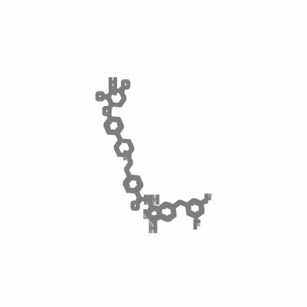 O=C1CCC(Oc2ccc(C3CCN(CCc4ccc(C(=O)Nc5n[nH]c6ccc(Cc7cc(F)cc(F)c7)cc56)cc4)CC3)cc2)C(=O)N1